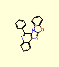 c1ccc(-c2nc3ccccc3c3nc4oc5ccccc5n4c23)cc1